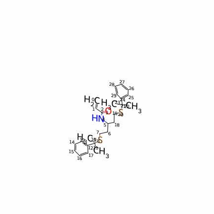 C=CC(=O)NC(CCSC(C)(C)c1ccccc1)CCSC(C)(C)c1ccccc1